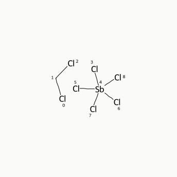 ClCCl.[Cl][Sb]([Cl])([Cl])([Cl])[Cl]